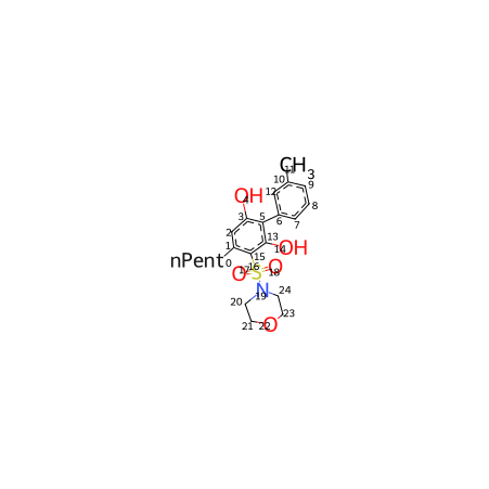 CCCCCc1cc(O)c(-c2cccc(C)c2)c(O)c1S(=O)(=O)N1CCOCC1